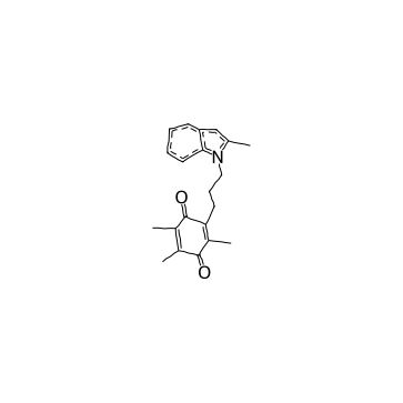 CC1=C(C)C(=O)C(CCCn2c(C)cc3ccccc32)=C(C)C1=O